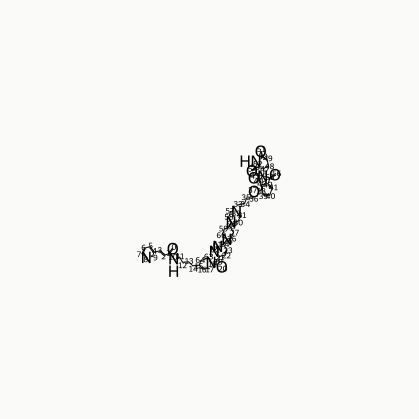 O=C(/C=C/c1cccnc1)NCCCCC1CCN(C(=O)c2ccc(N3CCC(N4CCN(CCCCOc5cccc6c5C(=O)N(C5CCC(=O)NC5=O)C6=O)CC4)CC3)nn2)CC1